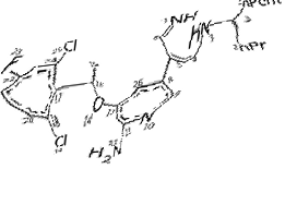 CCCCCC(CCC)N/C=C(\C=N)c1cnc(N)c(OC(C)c2c(Cl)ccc(F)c2Cl)c1